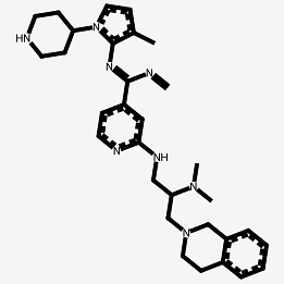 C=N/C(=N\c1c(C)ccn1C1CCNCC1)c1ccnc(NCC(CN2CCc3ccccc3C2)N(C)C)c1